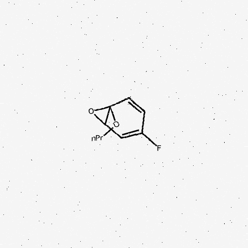 CCCOC12C=CC(F)=CC1O2